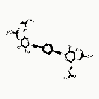 CC(=O)OC[C@@H]1O[C@H](C#Cc2ccc(C#C[C@H]3O[C@@H](COC(C)=O)[C@@H](CC(=O)O)[C@@H](O)[C@@H]3O)cc2)[C@@H](O)[C@H](O)[C@@H]1CC(=O)O